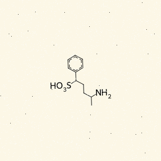 CC(N)CCC(c1ccccc1)S(=O)(=O)O